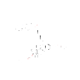 COCOc1ccc2c(c1)[C@H](CC=CC=CCO)C[C@@H]1[C@@H]2CC[C@]2(C)[C@@H](OCOC)CC[C@@H]12.C[Si](C)(C)[N-][Si](C)(C)C.[Li+]